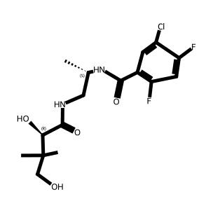 C[C@@H](CNC(=O)[C@H](O)C(C)(C)CO)NC(=O)c1cc(Cl)c(F)cc1F